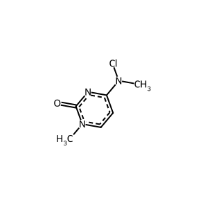 CN(Cl)c1ccn(C)c(=O)n1